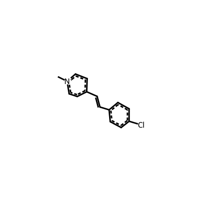 C[n+]1ccc(C=Cc2ccc(Cl)cc2)cc1